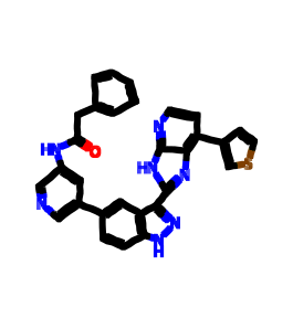 O=C(Cc1ccccc1)Nc1cncc(-c2ccc3[nH]nc(-c4nc5c(-c6ccsc6)ccnc5[nH]4)c3c2)c1